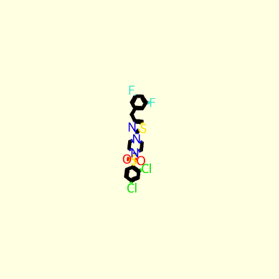 O=S(=O)(c1ccc(Cl)cc1Cl)N1CCN(c2nc(Cc3cc(F)cc(F)c3)cs2)CC1